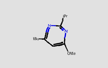 COc1cc(C(C)(C)C)nc(C(C)C)n1